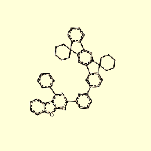 c1ccc(-c2nc(-c3cccc(-c4ccc5c(c4)-c4cc6c(cc4C54CCCCC4)-c4ccccc4C64CCCCC4)c3)nc3oc4ccccc4c23)cc1